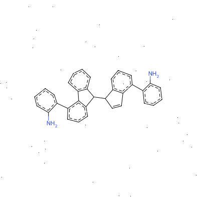 Nc1ccccc1-c1cccc2c1C=CC2C1c2ccccc2-c2c(-c3ccccc3N)cccc21